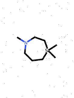 CN1CCC[Si](C)(C)CC1